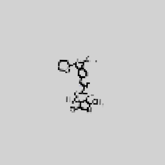 Cc1ncc(Cl)c(C)c1NC(=O)/C(F)=C/c1ccc2c(C)nn(C3CCCCO3)c2c1